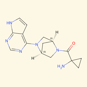 NC1(C(=O)N2C[C@@H]3C[C@H]2CN3c2ncnc3[nH]ccc23)CC1